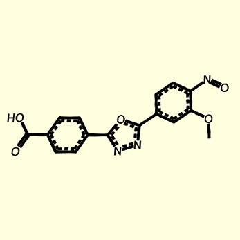 COc1cc(-c2nnc(-c3ccc(C(=O)O)cc3)o2)ccc1N=O